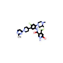 CC1CN(c2cc(F)c(C3=CCN(c4ccnc(C#N)n4)CC3)cc2NC(=O)c2c[nH]c(=O)cc2C(F)F)CCN1C